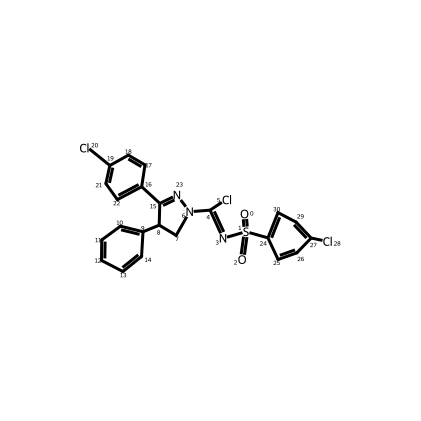 O=S(=O)(N=C(Cl)N1CC(c2ccccc2)C(c2ccc(Cl)cc2)=N1)c1ccc(Cl)cc1